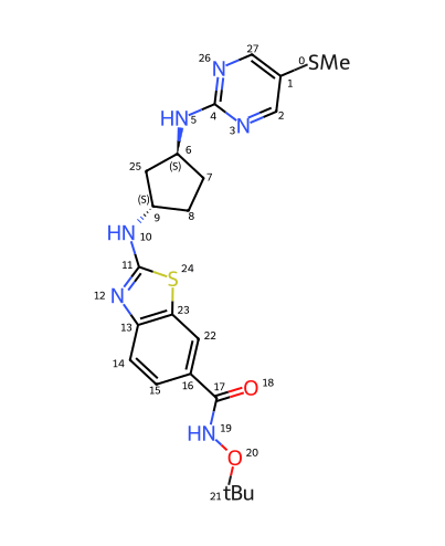 CSc1cnc(N[C@H]2CC[C@H](Nc3nc4ccc(C(=O)NOC(C)(C)C)cc4s3)C2)nc1